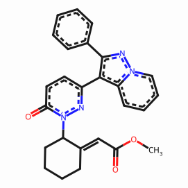 COC(=O)C=C1CCCCC1n1nc(-c2c(-c3ccccc3)nn3ccccc23)ccc1=O